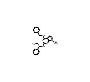 Cn1ncc2c(NCc3ccccc3)nc(N[C@H](CO)c3ccccc3)nc21